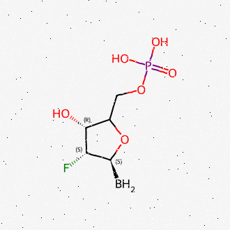 B[C@@H]1OC(COP(=O)(O)O)[C@@H](O)[C@H]1F